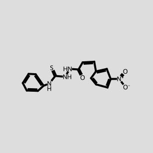 O=C(/C=C\c1cccc([N+](=O)[O-])c1)NNC(=S)Nc1ccccc1